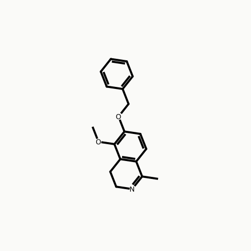 COc1c(OCc2ccccc2)ccc2c1CCN=C2C